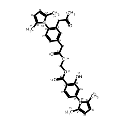 CC(=O)Cc1cc(CC(=O)OCOC(=O)c2ccc(-n3c(C)ccc3C)cc2O)ccc1-n1c(C)ccc1C